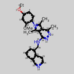 CCOc1ccc(-n2c(C)c3c(C)nnc(NCc4cccc5cnccc45)c3c2C)c(OC)c1